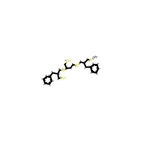 CCCSCC(CSCCC(CS)SCC(CS)Cc1ccccc1)Cc1ccccc1